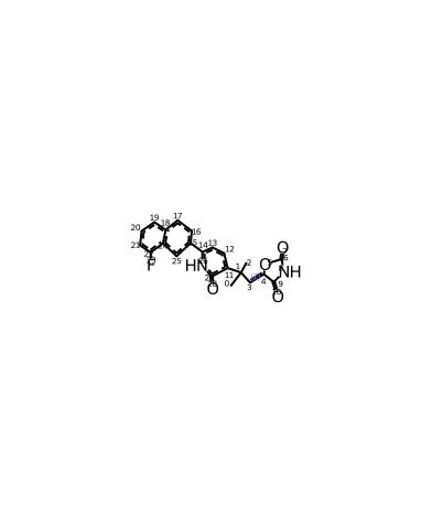 CC(C)(/C=C1\OC(=O)NC1=O)c1ccc(-c2ccc3cccc(F)c3c2)[nH]c1=O